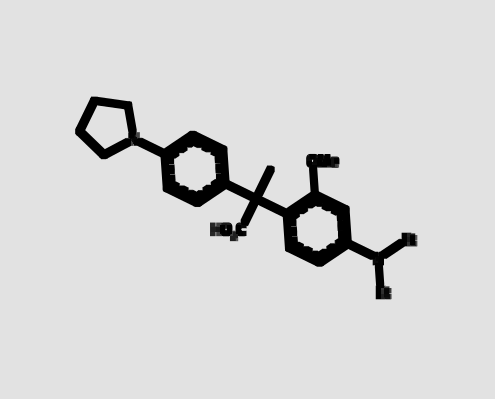 CCN(CC)c1ccc(C(C)(C(=O)O)c2ccc(N3CCCC3)cc2)c(OC)c1